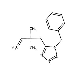 C=CC(C)(C)Cc1nnnn1Cc1ccccc1